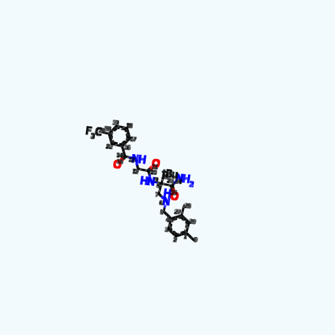 Cc1ccc(CNCC(NC(=O)CNC(=O)c2cccc(C(F)(F)F)c2)(C(N)=O)C(C)(C)C)c(C)c1